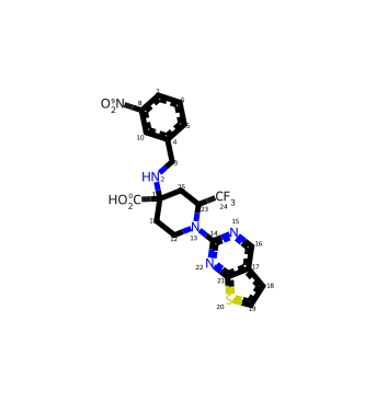 O=C(O)C1(NCc2cccc([N+](=O)[O-])c2)CCN(c2ncc3ccsc3n2)C(C(F)(F)F)C1